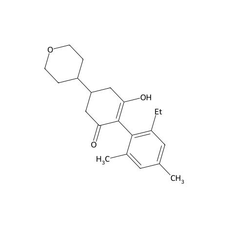 CCc1cc(C)cc(C)c1C1=C(O)CC(C2CCOCC2)CC1=O